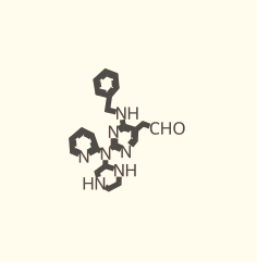 O=CCc1cnc(N(c2ccccn2)C2CNCCN2)nc1NCc1ccccc1